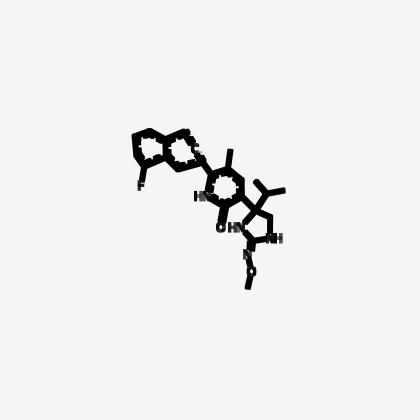 CO/N=C1\NCC(c2cc(C)c(-c3ccc4cccc(F)c4c3)[nH]c2=O)(C(C)C)N1